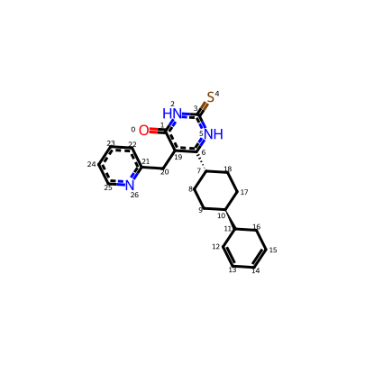 O=c1[nH]c(=S)[nH]c([C@H]2CC[C@H](C3C=CC=CC3)CC2)c1Cc1ccccn1